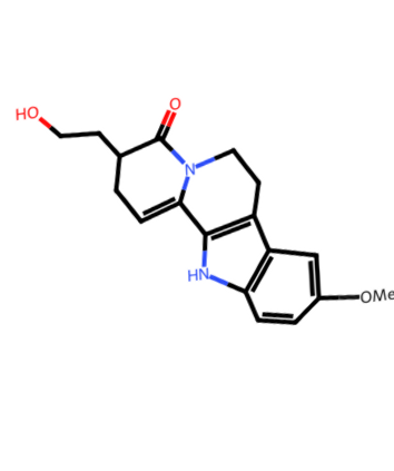 COc1ccc2[nH]c3c(c2c1)CCN1C(=O)C(CCO)CC=C31